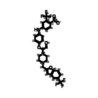 O=CC(Oc1ccc(Nc2ccc([N+](=O)[O-])c(C(F)(F)F)c2)cc1)N1CCN(Cc2cc3cc(C(F)(F)F)ccc3o2)CC1